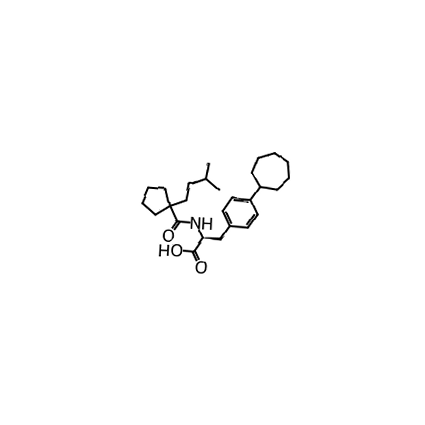 CC(C)CCC1(C(=O)N[C@@H](Cc2ccc(C3CCCCCC3)cc2)C(=O)O)CCCC1